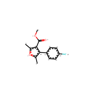 COC(=O)c1c(C)oc(C)c1-c1ccc(F)cc1